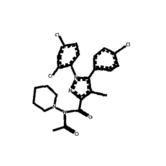 CC(=O)N(C(=O)c1nn(-c2ccc(Cl)cc2Cl)c(-c2ccc(Cl)cc2)c1C)N1CCCCC1